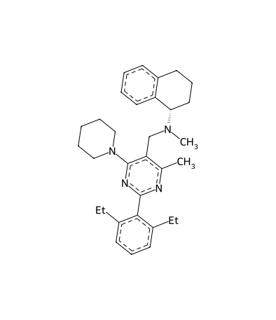 CCc1cccc(CC)c1-c1nc(C)c(CN(C)[C@H]2CCCc3ccccc32)c(N2CCCCC2)n1